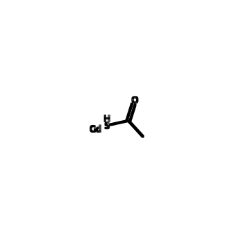 CC(=O)S.[Gd]